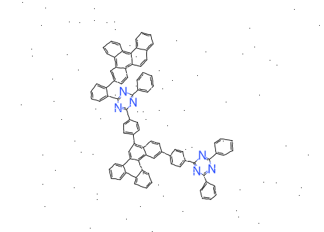 c1ccc(-c2nc(-c3ccccc3)nc(-c3ccc(-c4ccc5c(-c6ccc(-c7nc(-c8ccccc8)nc(-c8ccccc8-c8ccc9c(c8)c8ccccc8c8c%10ccccc%10ccc98)n7)cc6)cc6c7ccccc7c7ccccc7c6c5c4)cc3)n2)cc1